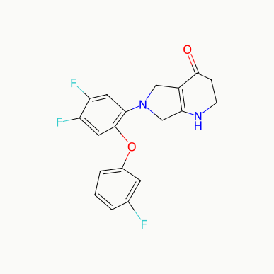 O=C1CCNC2=C1CN(c1cc(F)c(F)cc1Oc1cccc(F)c1)C2